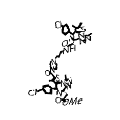 COC(=O)C[C@@H]1N=C(c2ccc(Cl)cc2)c2c(sc(C(=O)N3CCN(CCCNC(=O)C[C@@H]4N=C(c5ccc(Cl)cc5)c5c(sc(C)c5C)-n5c(C)nnc54)CC3)c2C)-n2c(C)nnc21